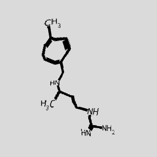 Cc1ccc(CNC(C)CCNC(=N)N)cc1